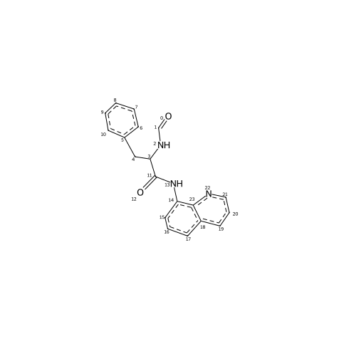 O=CNC(Cc1ccccc1)C(=O)Nc1cccc2cccnc12